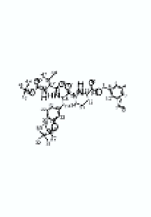 C=Cc1cccc(COC(=O)C2CCCN(C(=O)C(Cc3cccc(O[Si](C)(C)C(C)(C)C)c3)NC(=O)C(NC(=O)OC(C)(C)C)C(C)C)N2)c1